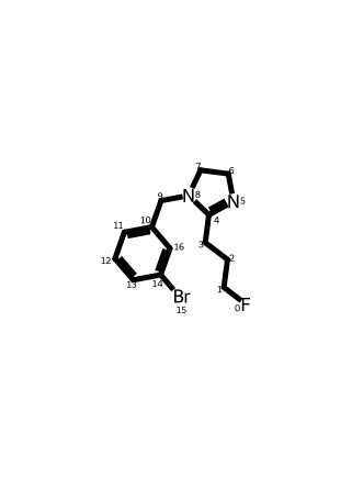 FCCCC1=NCCN1Cc1cccc(Br)c1